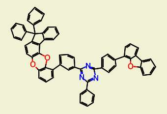 c1ccc(-c2nc(-c3ccc(-c4cccc5c4oc4ccccc45)cc3)nc(-c3cccc(-c4cccc5c4Oc4c(ccc6c4-c4ccccc4C6(c4ccccc4)c4ccccc4)O5)c3)n2)cc1